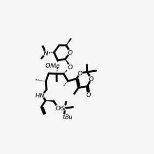 C=C[C@H](CO[Si](C)(C)C(C)(C)C)NC[C@H](C)C[C@@](C)(OC)[C@H](O[C@H]1[CH][C@H](N(C)C)C[C@@H](C)O1)[C@@H](C)C1=C(C)C(=O)OC(C)(C)O1